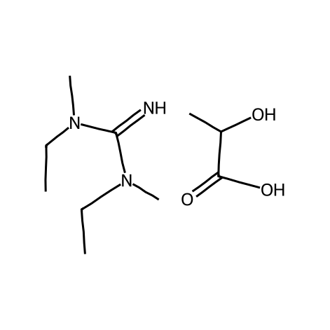 CC(O)C(=O)O.CCN(C)C(=N)N(C)CC